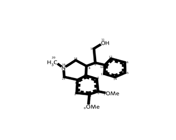 COc1cc2c(cc1OC)C(C(CO)c1ccccc1)CN(C)C2